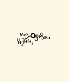 CS/C(=N\C[Si](C)(C)C)c1ccc(CNC(=O)OC(C)(C)C)c(Cl)c1